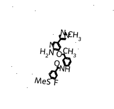 CSc1ccc(C(=O)Nc2cccc(C(C)Oc3cc(-c4cnn(C)c4)cnc3N)c2)cc1F